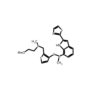 COCCN(C)Cc1sccc1SN(C)c1cccc2cc(-c3nccs3)[nH]c12